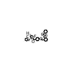 C[C@@H]1CCCN1C[C@@H]1CCCN1C(=O)c1ccc(OCc2ccccc2CS(=O)(=O)c2ccccc2)cc1F